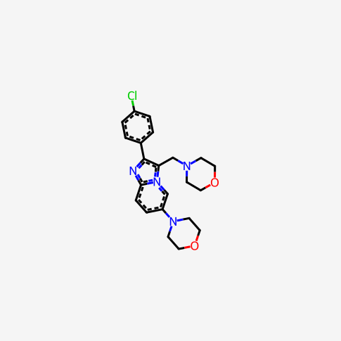 Clc1ccc(-c2nc3ccc(N4CCOCC4)cn3c2CN2CCOCC2)cc1